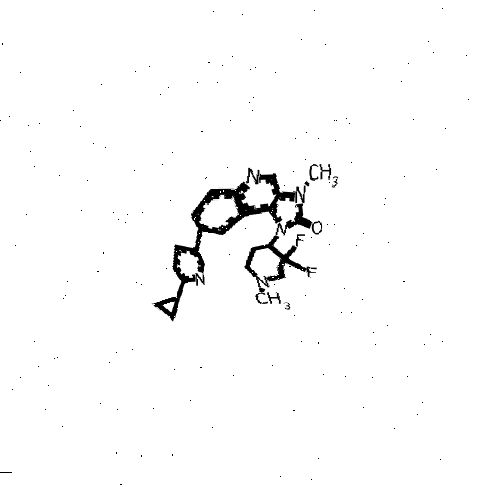 CN1CCC(n2c(=O)n(C)c3cnc4ccc(-c5ccc(C6CC6)nc5)cc4c32)C(F)(F)C1